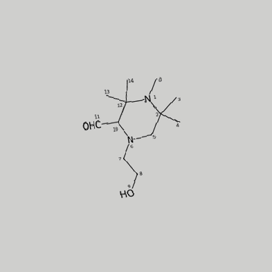 CN1C(C)(C)CN(CCO)C(C=O)C1(C)C